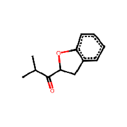 CC(C)C(=O)C1Cc2ccccc2O1